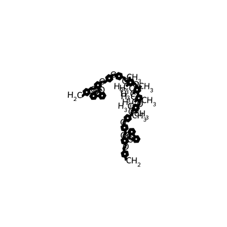 C=Cc1ccc(COc2ccc(OCc3ccc(Oc4ccc(C(C)Oc5c(C)cc(Oc6c(C)cc(-c7cc(C)c(Oc8cc(C)c(OCc9ccc(Oc%10ccc(COc%11ccc(OCc%12ccc(C=C)cc%12)c(P%12(=O)Oc%13ccccc%13-c%13ccccc%13%12)c%11)cc%10)cc9)c(C)c8)c(C)c7C)c(C)c6C)cc5C)cc4)cc3)c(P3(=O)Oc4ccccc4-c4ccccc43)c2)cc1